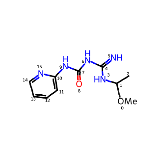 COC(C)NC(=N)NC(=O)Nc1ccccn1